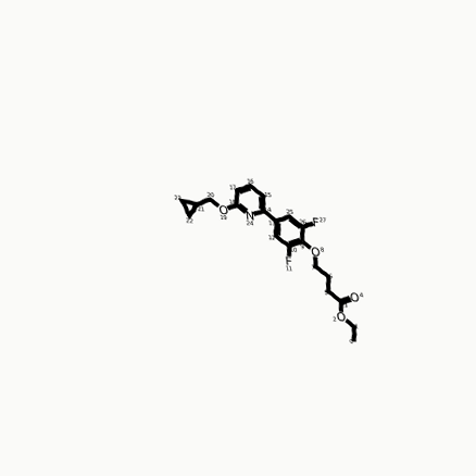 CCOC(=O)CCCOc1c(F)cc(-c2cccc(OCC3CC3)n2)cc1F